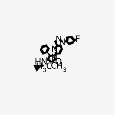 CC1(C)C(=O)N(c2ccc3c(cnn3-c3ccc(F)cc3)n2)[C@H](c2ccccc2)[C@H]1NCC1CC1